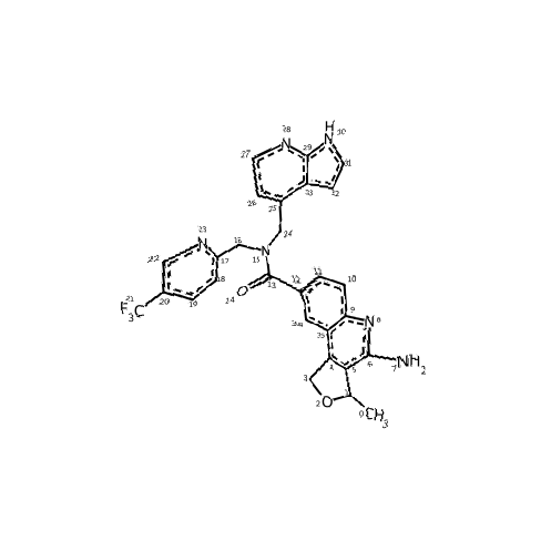 CC1OCc2c1c(N)nc1ccc(C(=O)N(Cc3ccc(C(F)(F)F)cn3)Cc3ccnc4[nH]ccc34)cc21